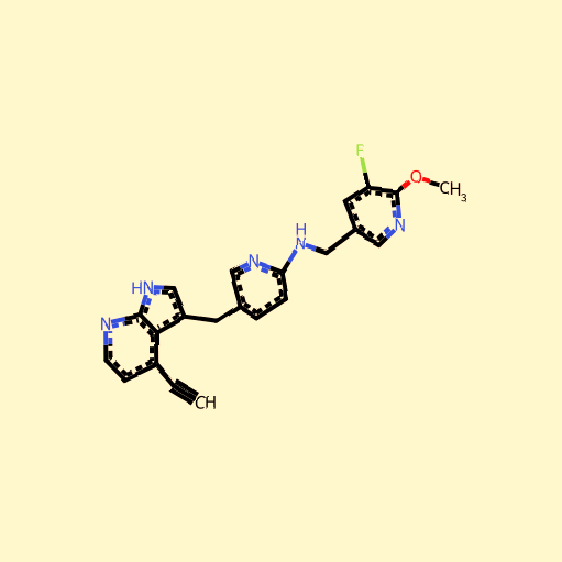 C#Cc1ccnc2[nH]cc(Cc3ccc(NCc4cnc(OC)c(F)c4)nc3)c12